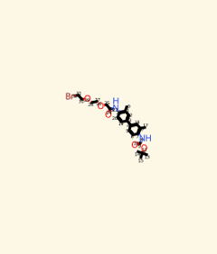 Cc1cc(-c2ccc(NC(=O)OC(C)(C)C)c(C)c2)ccc1NC(=O)COCCOCCBr